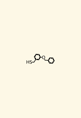 SCc1cccc(OCc2ccccc2)c1